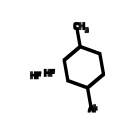 CC1CC[CH]([Al])CC1.F.F